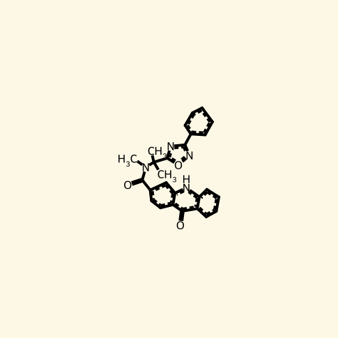 CN(C(=O)c1ccc2c(=O)c3ccccc3[nH]c2c1)C(C)(C)c1nc(-c2ccccc2)no1